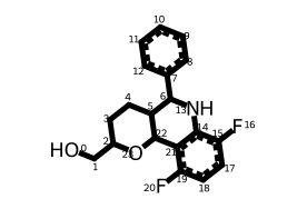 OCC1CCC2C(c3ccccc3)Nc3c(F)ccc(F)c3C2O1